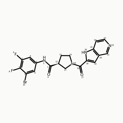 O=C(Nc1cc(F)c(F)c(Br)c1)[C@H]1CCN(C(=O)c2cc3cnccc3[nH]2)C1